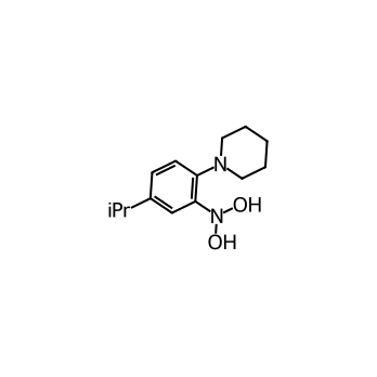 CC(C)c1ccc(N2CCCCC2)c(N(O)O)c1